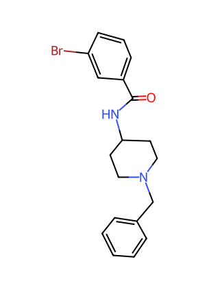 O=C(NC1CCN(Cc2ccccc2)CC1)c1cccc(Br)c1